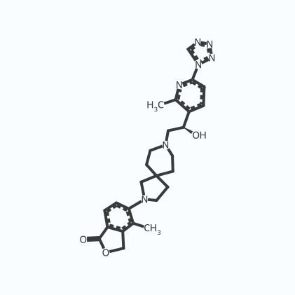 Cc1nc(-n2cnnn2)ccc1[C@@H](O)CN1CCC2(CC1)CCN(c1ccc3c(c1C)COC3=O)C2